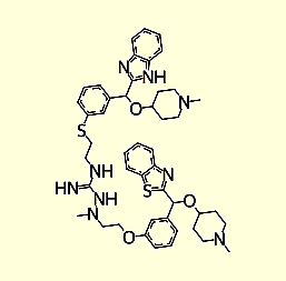 CN1CCC(OC(c2cccc(SCCNC(=N)NN(C)CCOc3cccc(C(OC4CCN(C)CC4)c4nc5ccccc5s4)c3)c2)c2nc3ccccc3[nH]2)CC1